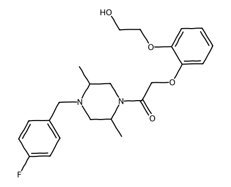 CC1CN(C(=O)COc2ccccc2OCCO)C(C)CN1Cc1ccc(F)cc1